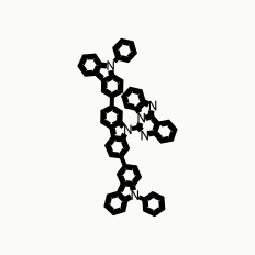 c1ccc(-n2c3ccccc3c3cc(-c4ccc5c6ccc(-c7ccc8c(c7)c7ccccc7n8-c7ccccc7)cc6n(-c6nc7ccccc7c7nc8ccccc8n67)c5c4)ccc32)cc1